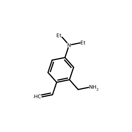 [CH]=Cc1ccc(N(CC)CC)cc1CN